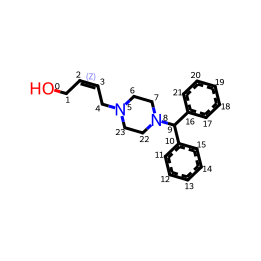 OC/C=C\CN1CCN(C(c2ccccc2)c2ccccc2)CC1